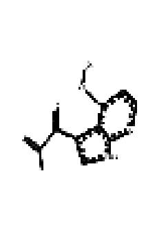 C=C(C)C(=O)c1c[nH]c2nccc(OC(C)C)c12